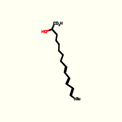 CCCCC=CC=CC=CCCCCCCC(O)C(=O)O